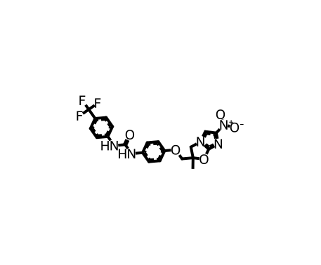 CC1(COc2ccc(NC(=O)Nc3ccc(C(F)(F)F)cc3)cc2)Cn2cc([N+](=O)[O-])nc2O1